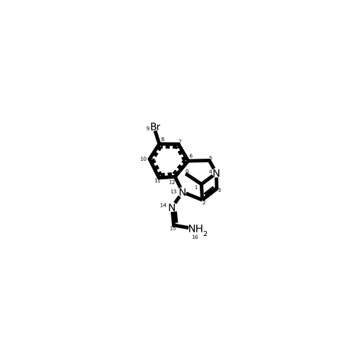 CC1C2=CN1Cc1cc(Br)ccc1N2/N=C\N